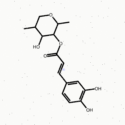 CC1COC(C)C(OC(=O)/C=C/c2ccc(O)c(O)c2)C1O